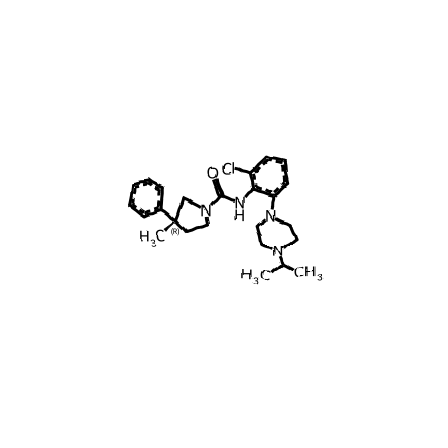 CC(C)N1CCN(c2cccc(Cl)c2NC(=O)N2CC[C@](C)(c3ccccc3)C2)CC1